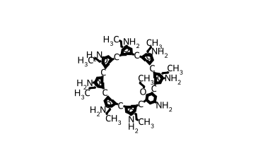 CCCOc1c2cc(N)cc1Cc1cc(N)cc(c1OCCC)Cc1cc(N)cc(c1OCCC)Cc1cc(N)cc(c1OCCC)Cc1cc(N)cc(c1OCCC)Cc1cc(N)cc(c1OCCC)Cc1cc(N)cc(c1OCCC)Cc1cc(N)cc(c1OCCC)C2